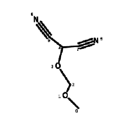 COCOC(C#N)C#N